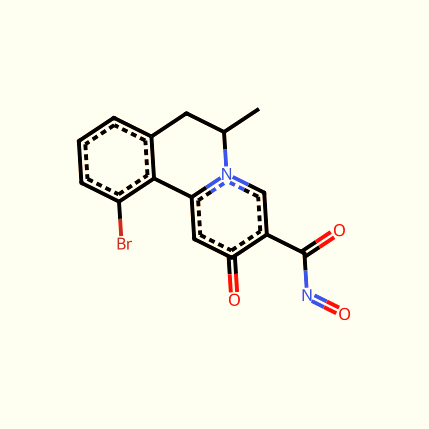 CC1Cc2cccc(Br)c2-c2cc(=O)c(C(=O)N=O)cn21